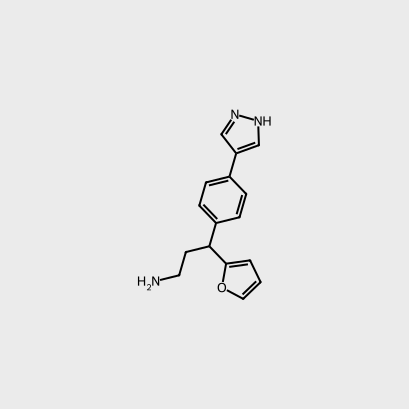 NCCC(c1ccc(-c2cn[nH]c2)cc1)c1ccco1